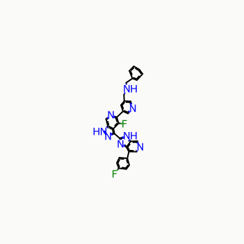 Fc1ccc(-c2cncc3[nH]c(-c4n[nH]c5cnc(-c6cncc(CNCc7ccccc7)c6)c(F)c45)nc23)cc1